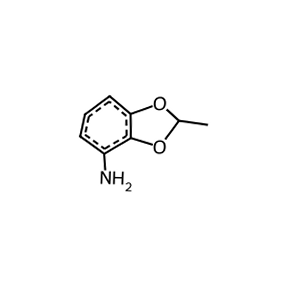 CC1Oc2cccc(N)c2O1